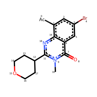 CC(=O)c1cc(Br)cc2c(=O)n(C)c(C3CCOCC3)nc12